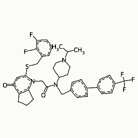 CC(C)N1CCC(N(Cc2ccc(-c3ccc(C(F)(F)F)cc3)cc2)C(=O)Cn2c(SCc3cccc(F)c3F)cc(=O)c3c2CCC3)CC1